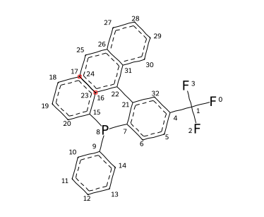 FC(F)(F)c1ccc(P(c2ccccc2)c2ccccc2)c(-c2cccc3ccccc23)c1